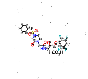 O=C(O)CC(NC(=O)CN1CCN(S(=O)(=O)Cc2ccccc2)CC1=O)C(=O)COc1c(F)c(F)cc(F)c1F